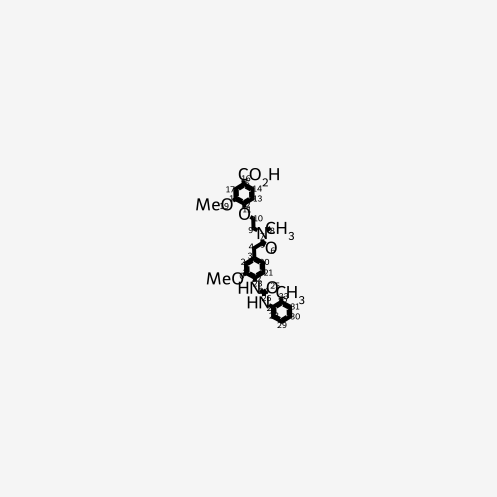 COc1cc(CC(=O)N(C)CCOc2ccc(C(=O)O)cc2OC)ccc1NC(=O)Nc1ccccc1C